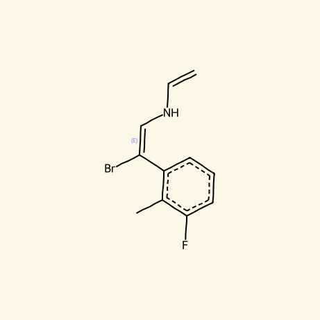 C=CN/C=C(/Br)c1cccc(F)c1C